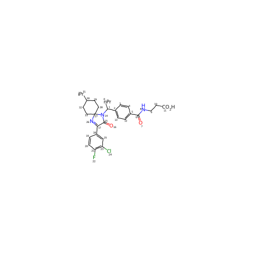 CCCC(c1ccc(C(=O)NCCC(=O)O)cc1)N1C(=O)C(c2ccc(F)c(Cl)c2)=NC12CCC(C(C)C)CC2